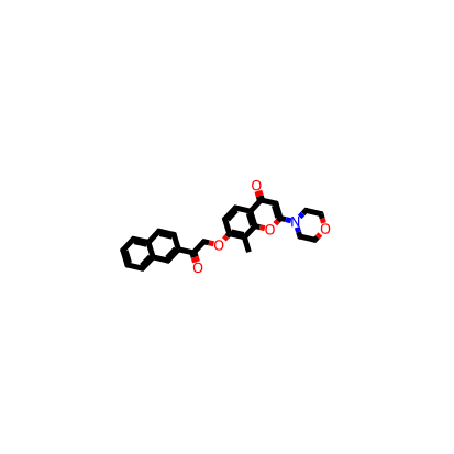 Cc1c(OCC(=O)c2ccc3ccccc3c2)ccc2c(=O)cc(N3CCOCC3)oc12